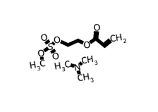 C=CC(=O)OCCOS(=O)(=O)OC.CN(C)C